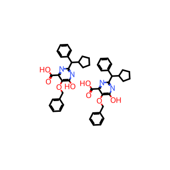 O=C(O)c1nc(C(c2ccccc2)C2CCCC2)nc(O)c1OCc1ccccc1.O=C(O)c1nc(C(c2ccccc2)C2CCCC2)nc(O)c1OCc1ccccc1